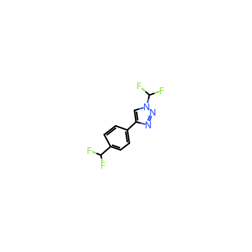 FC(F)c1ccc(-c2cn(C(F)F)nn2)cc1